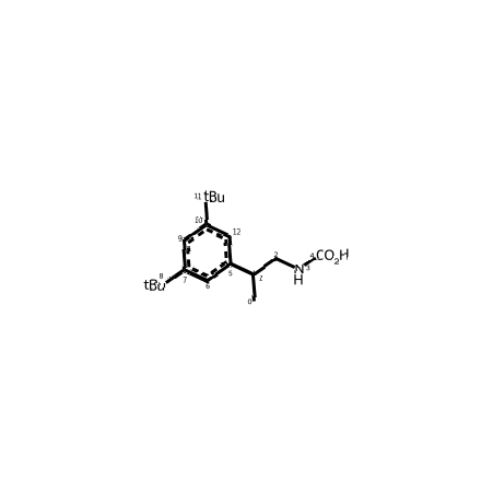 C[C](CNC(=O)O)c1cc(C(C)(C)C)cc(C(C)(C)C)c1